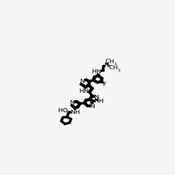 CN(C)CCNc1cc(F)cc(-c2cncc3[nH]c(-c4n[nH]c5ncc(-c6cncc(NC(O)C7CCCCC7)c6)cc45)cc23)c1